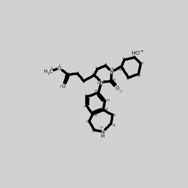 COC(=O)CCC1CCN(C2CCCCC2)C(=O)N1c1ccc2c(c1)CCNCC2.Cl